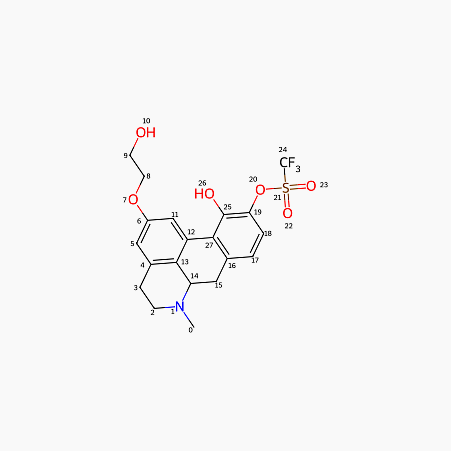 CN1CCc2cc(OCCO)cc3c2C1Cc1ccc(OS(=O)(=O)C(F)(F)F)c(O)c1-3